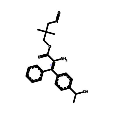 CC(O)c1ccc(/C(=C(\N)C(=O)OCC(C)(C)CN=O)c2ccccc2)cc1